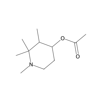 CC(=O)OC1CCN(C)C(C)(C)C1C